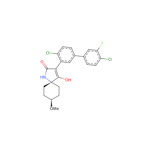 CO[C@H]1CC[C@@]2(CC1)NC(=O)C(c1cc(-c3ccc(Cl)c(F)c3)ccc1Cl)=C2O